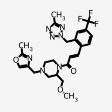 COCC1CN(Cc2coc(C)n2)CCN1C(=O)C=Cc1ccc(C(F)(F)F)cc1Cn1nnc(C)n1